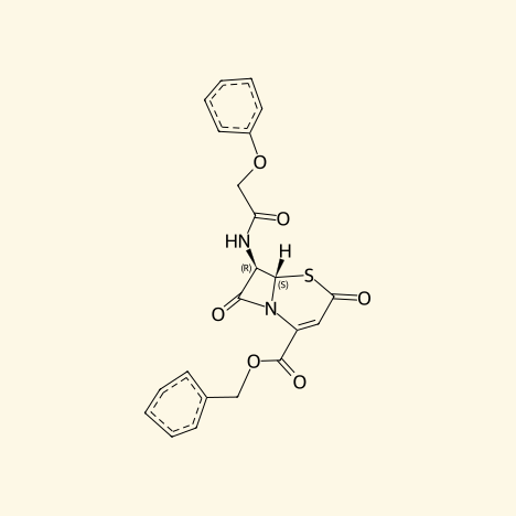 O=C(COc1ccccc1)N[C@@H]1C(=O)N2C(C(=O)OCc3ccccc3)=CC(=O)S[C@@H]12